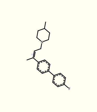 C/C(=C/CN1CCC(C)CC1)c1ccc(-c2ccc(F)cc2)cc1